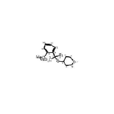 CCOC(=O)C(CC)(OC1CCOCC1)c1ccccc1OC